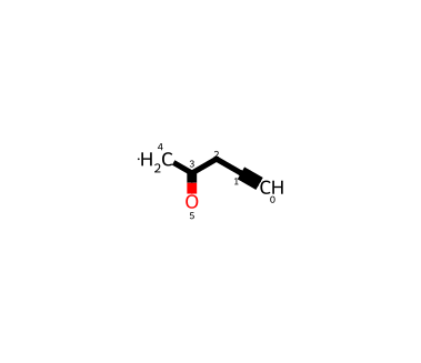 C#CCC([CH2])=O